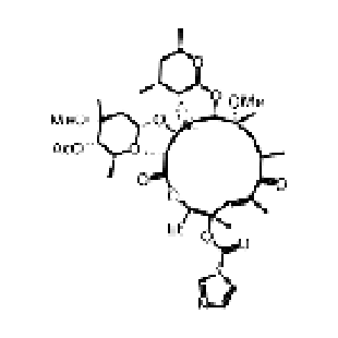 CC[C@H]1OC(=O)[C@H](C)[C@@H](O[C@H]2C[C@@](C)(OC)[C@@H](OC(C)=O)[C@H](C)O2)[C@H](C)[C@@H](O[C@@H]2O[C@H](C)C[C@H](C)[C@H]2CC(C)=O)[C@](C)(OC)C[C@@H](C)C(=O)/C(C)=C/[C@]1(C)OC(=O)n1ccnc1